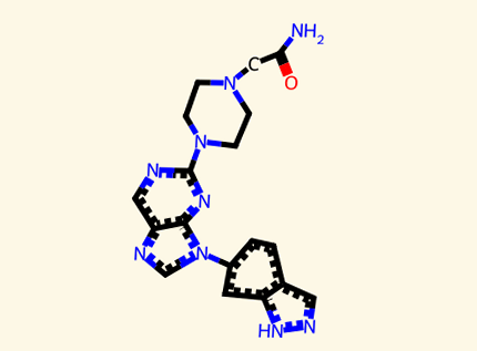 NC(=O)CN1CCN(c2ncc3ncn(-c4ccc5cn[nH]c5c4)c3n2)CC1